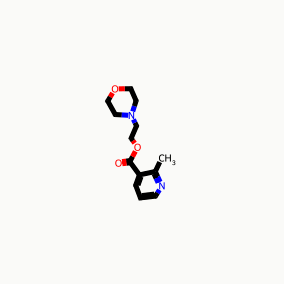 Cc1ncccc1C(=O)OCCN1CCOCC1